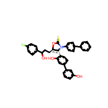 Oc1cccc(-c2ccc([C@@H]3[C@@H](CCC(O)c4ccc(F)cc4)OC(=S)N3c3ccc(-c4ccccc4)cc3)c(O)c2)c1